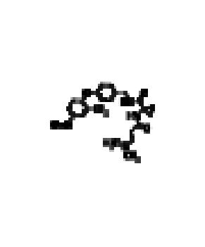 COc1ccc(Oc2ccc(CNC(=O)C3(NC(=O)CCN(C)C)CC3)cc2)c(C(F)(F)F)c1